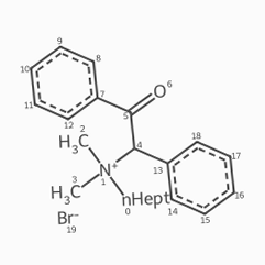 CCCCCCC[N+](C)(C)C(C(=O)c1ccccc1)c1ccccc1.[Br-]